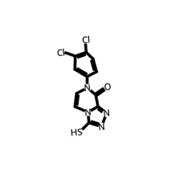 O=c1c2nnc(S)n2ccn1-c1ccc(Cl)c(Cl)c1